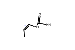 C/C=C\NC([NH])=O